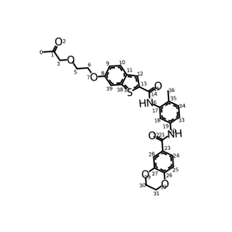 CC(=O)COCCOc1ccc2cc(C(=O)Nc3cc(NC(=O)c4ccc5c(c4)OCCO5)ccc3C)sc2c1